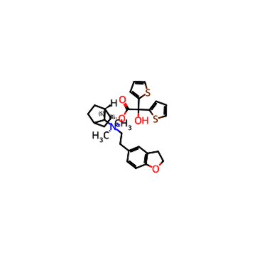 C[N+](C)(CCc1ccc2c(c1)CCO2)C1C2CC[C@@H]1[C@H](OC(=O)C(O)(c1cccs1)c1cccs1)C2